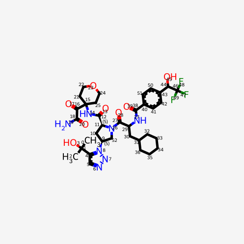 CC(C)(O)c1cnnn1[C@H]1C[C@@H](C(=O)NC2(C(=O)C(N)=O)CCOCC2)N(C(=O)C(CC2CCCCC2)NC(=O)c2ccc(C(O)C(F)(F)F)cc2)C1